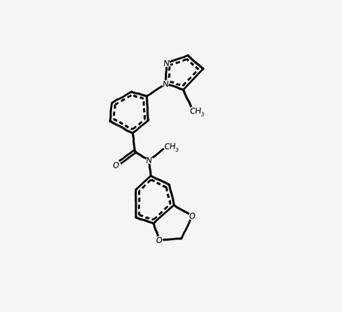 Cc1ccnn1-c1cccc(C(=O)N(C)c2ccc3c(c2)OCO3)c1